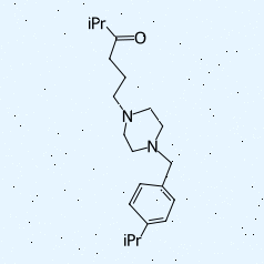 CC(C)C(=O)CCCN1CCN(Cc2ccc(C(C)C)cc2)CC1